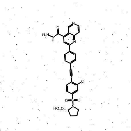 NNC(=O)c1cc(-c2ccc(C#Cc3ccc(S(=O)(=O)N4CCC[C@@H]4C(=O)O)cc3Cl)cc2)nc2ccncc12